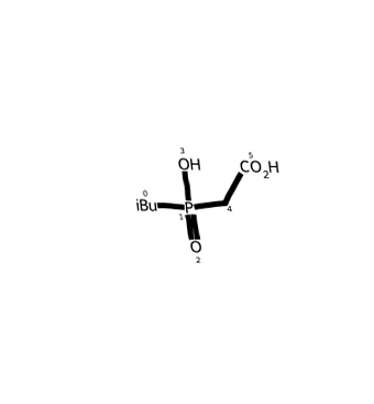 CCC(C)P(=O)(O)CC(=O)O